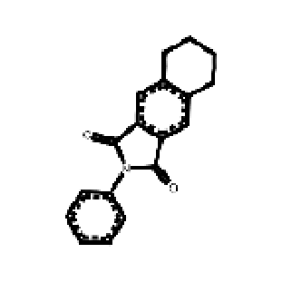 O=C1c2cc3c(cc2C(=O)N1c1ccccc1)CCCC3